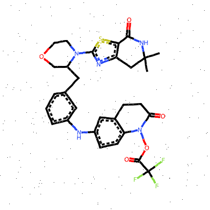 CC1(C)Cc2nc(N3CCOCC3Cc3cccc(Nc4ccc5c(c4)CCC(=O)N5OC(=O)C(F)(F)F)c3)sc2C(=O)N1